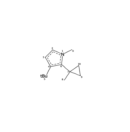 Cn1ccc(C(C)(C)C)c1C1(C)CC1